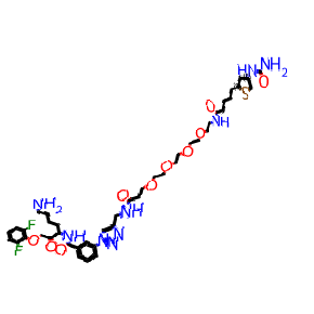 NCCCCC(NC(=O)c1cccc(-n2cc(CNC(=O)CCOCCOCCOCCOCCNC(=O)CCCC[C@H]3C[C@H](NC(N)=O)CS3)nn2)c1)C(=O)COc1c(F)cccc1F